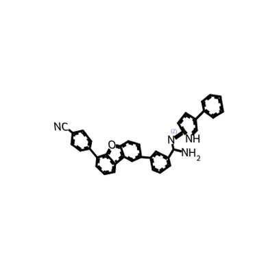 N#Cc1ccc(-c2cccc3c2oc2ccc(-c4cccc(C(N)/N=c5/ccc(-c6ccccc6)c[nH]5)c4)cc23)cc1